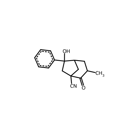 CC1CC2CC(C#N)(CC2(O)c2ccccc2)C1=O